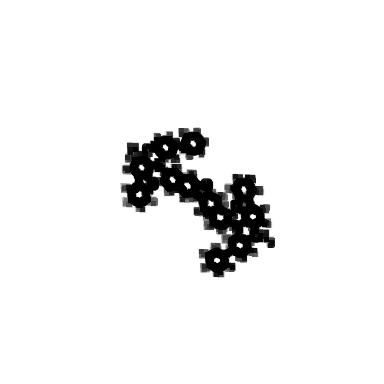 Cc1ccc(-c2ccccc2)cc1N(c1ccc2cc3c(cc2c1)oc1cc2cc(N(c4cc(-c5ccccc5)ccc4C)c4cccc5c4oc4ccccc45)ccc2cc13)c1cccc2c1oc1ccccc12